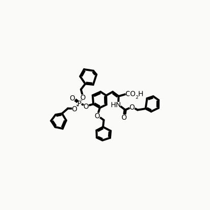 O=C(NC(=Cc1ccc(OP(=O)(OCc2ccccc2)OCc2ccccc2)c(OCc2ccccc2)c1)C(=O)O)OCc1ccccc1